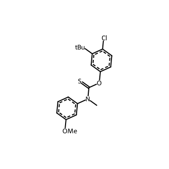 COc1cccc(N(C)C(=S)Oc2ccc(Cl)c(C(C)(C)C)c2)c1